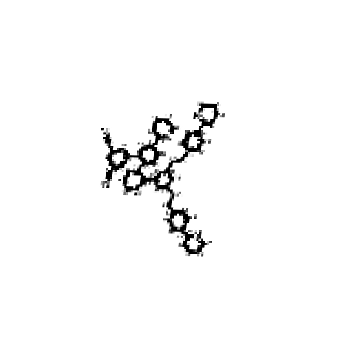 N#Cc1cc(C#N)cc(-c2cc(-c3ccccn3)ccc2-c2ccccc2-c2cc(CCc3ccc(-c4ccccn4)cc3)cc(CCc3ccc(-c4ccccn4)cc3)c2)c1